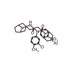 CC(=O)N1CCC(C(=O)N(CCCN2C3CCC2CC(NC(=O)Cc2ccc([N+](=O)[O-])cc2)C3)c2ccc(C)c(Cl)c2)CC1